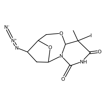 CC1(I)C(=O)NC(=O)N2C3CC(N=[N+]=[N-])C(COC21)O3